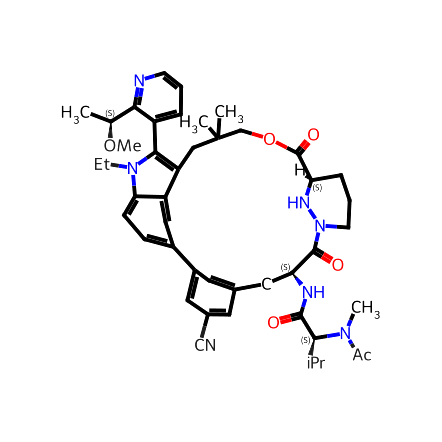 CCn1c(-c2cccnc2[C@H](C)OC)c2c3cc(ccc31)-c1cc(C#N)cc(c1)C[C@H](NC(=O)[C@H](C(C)C)N(C)C(C)=O)C(=O)N1CCC[C@H](N1)C(=O)OCC(C)(C)C2